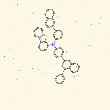 c1ccc(-c2cc(-c3ccc(N(c4cccc(-c5ccc6ccccc6c5)c4)c4cccc5c4sc4ccccc45)cc3)cc3ccccc23)cc1